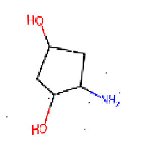 NC1CC(O)CC1O